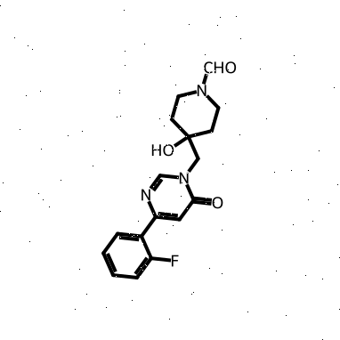 O=CN1CCC(O)(Cn2cnc(-c3ccccc3F)cc2=O)CC1